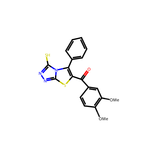 COc1ccc(C(=O)c2sc3nnc(S)n3c2-c2ccccc2)cc1OC